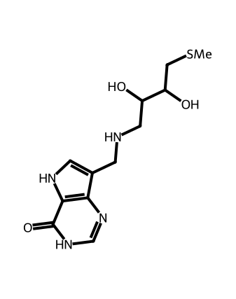 CSCC(O)C(O)CNCc1c[nH]c2c(=O)[nH]cnc12